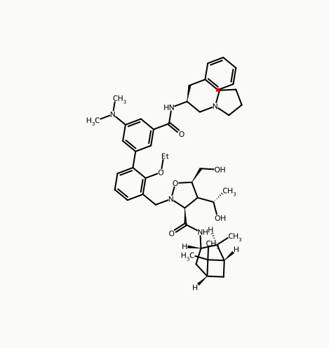 CCOc1c(CN2O[C@@H](CO)C([C@H](C)O)[C@H]2C(=O)N[C@H]2C[C@H]3C[C@@H]([C@@H]2C)C3(C)C)cccc1-c1cc(C(=O)N[C@@H](Cc2ccccc2)CN2CCCC2)cc(N(C)C)c1